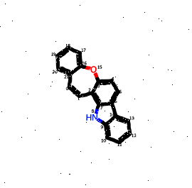 C1=Cc2c(ccc3c2[nH]c2ccccc23)Oc2ccccc21